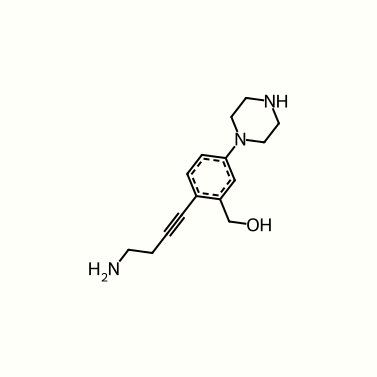 NCCC#Cc1ccc(N2CCNCC2)cc1CO